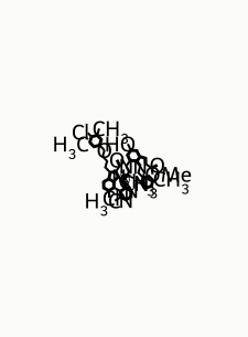 COC(=O)c1cc2cc(O)cc(N3C[C@@H](C)n4c(c(CCCOc5cc(C)c(Cl)c(C)c5)c5ccc(Cl)c(-c6c(C)ncnc6C)c54)C3=O)c2n1Cc1cc(C)ccn1